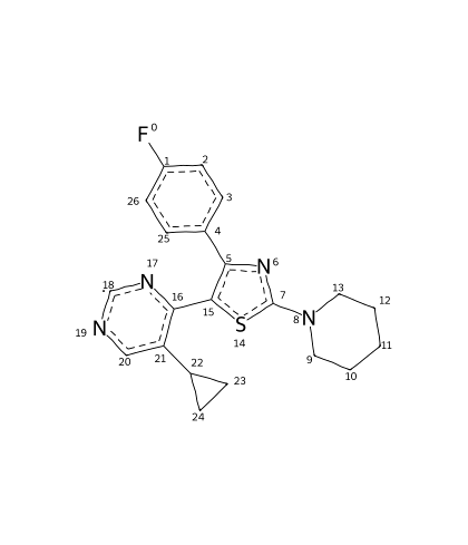 Fc1ccc(-c2nc(N3CCCCC3)sc2-c2n[c]ncc2C2CC2)cc1